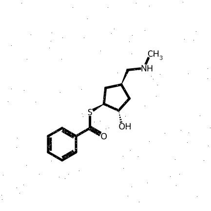 CNC[C@@H]1C[C@H](SC(=O)c2ccccc2)[C@@H](O)C1